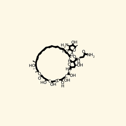 C[C@@H]1OC(=O)CC(O)CC(O)CCC(O)C(O)CC(O)CC2(O)C[C@H](O)C(C(=O)NCCC(N)=O)[C@H](CC(O[C@@H]3O[C@H](C)C(O)[C@H](N)C3O)/C=C/C=C/C=C/C=C/C=C/C=C/C=C/[C@H](C)C(O)[C@H]1C)O2